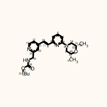 C[C@@H]1CN(c2cccc(/C=C/c3ccnc(CNC(=O)OC(C)(C)C)c3)n2)C[C@H](C)O1